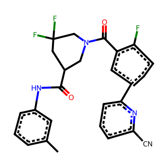 Cc1cccc(NC(=O)C2CN(C(=O)c3cc(-c4cccc(C#N)n4)ccc3F)CC(F)(F)C2)c1